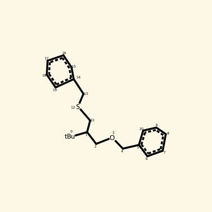 CC(C)(C)C(COCc1ccccc1)CSCc1ccccc1